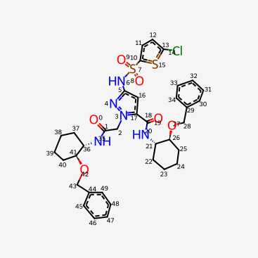 O=C(Cn1nc(NS(=O)(=O)c2ccc(Cl)s2)cc1C(=O)N[C@H]1CCCC[C@@H]1OCc1ccccc1)N[C@H]1CCCC[C@@H]1OCc1ccccc1